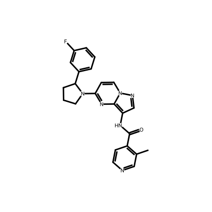 Cc1cnccc1C(=O)Nc1cnn2ccc(N3CCCC3c3cccc(F)c3)nc12